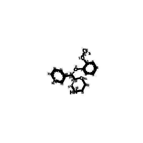 FC(F)(F)Oc1ccccc1O[C@@H](c1cccnc1)[C@H]1CNCCO1